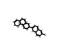 IC1=CC2=CC=C(c3ccc4c5c(ccc4c3)C=CCC5)CC2C=C1